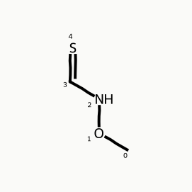 CONC=S